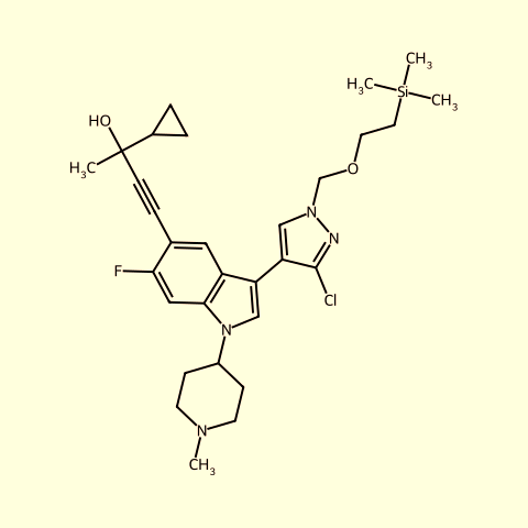 CN1CCC(n2cc(-c3cn(COCC[Si](C)(C)C)nc3Cl)c3cc(C#CC(C)(O)C4CC4)c(F)cc32)CC1